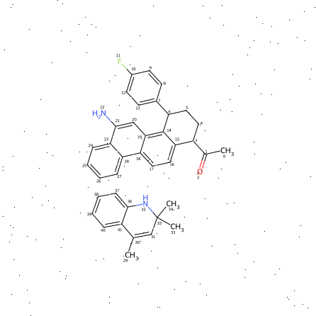 CC(=O)C1CCC(c2ccc(F)cc2)c2c1ccc1c2cc(N)c2ccccc21.CC1=CC(C)(C)Nc2ccccc21